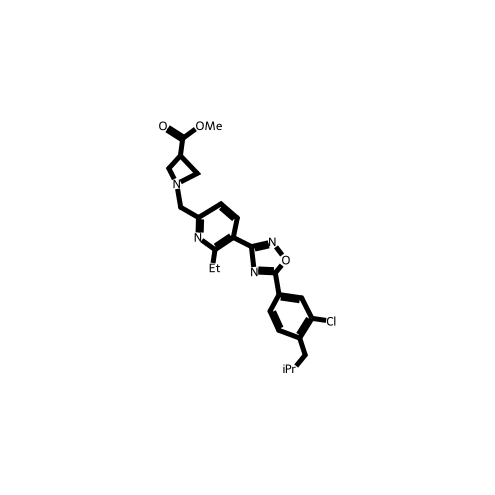 CCc1nc(CN2CC(C(=O)OC)C2)ccc1-c1noc(-c2ccc(CC(C)C)c(Cl)c2)n1